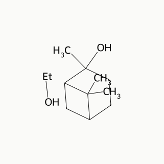 CC1(O)CCC2CC1C2(C)C.CCO